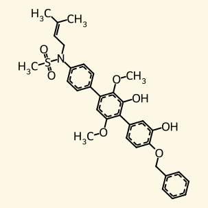 COc1cc(-c2ccc(N(CC=C(C)C)S(C)(=O)=O)cc2)c(OC)c(O)c1-c1ccc(OCc2ccccc2)c(O)c1